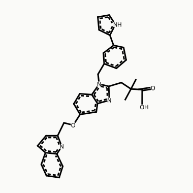 CC(C)(Cc1nc2cc(OCc3ccc4ccccc4n3)ccc2n1Cc1cccc(-c2ccc[nH]2)c1)C(=O)O